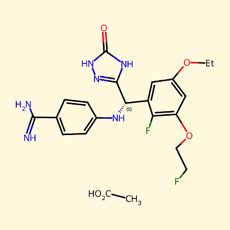 CC(=O)O.CCOc1cc(OCCF)c(F)c([C@H](Nc2ccc(C(=N)N)cc2)c2n[nH]c(=O)[nH]2)c1